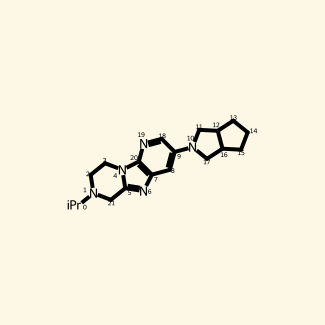 CC(C)N1CCn2c(nc3cc(N4CC5CCCC5C4)cnc32)C1